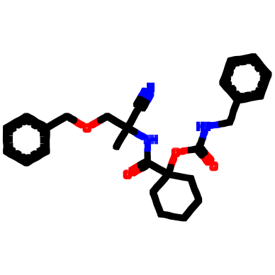 CC(C#N)(COCc1ccccc1)NC(=O)C1(OC(=O)NCc2ccccc2)CCCCC1